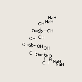 [NaH].[NaH].[NaH].[NaH].[O]=[Sb]([OH])([OH])[OH].[O]=[Sb]([OH])([OH])[OH].[O]=[Sb]([OH])([OH])[OH]